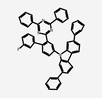 Fc1cccc(-c2ccc(-n3c4cc(-c5ccccc5)ccc4c4ccc(-c5ccccc5)cc43)cc2-c2nc(-c3ccccc3)nc(-c3ccccc3)n2)c1